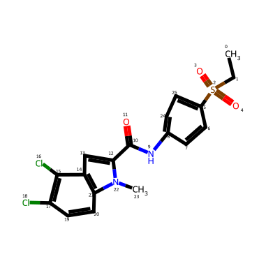 CCS(=O)(=O)c1ccc(NC(=O)c2cc3c(Cl)c(Cl)ccc3n2C)cc1